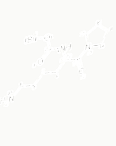 CC(C)(C)OC(=O)N[C@@H](CCCCN)C(=O)N1CCCC1